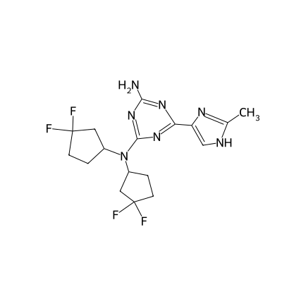 Cc1nc(-c2nc(N)nc(N(C3CCC(F)(F)C3)C3CCC(F)(F)C3)n2)c[nH]1